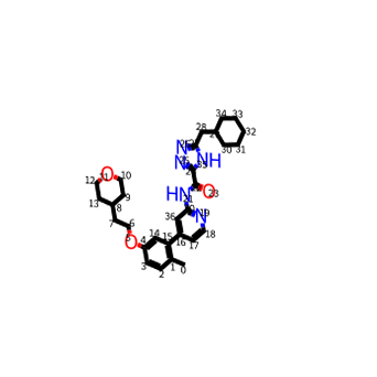 Cc1ccc(OCCC2CCOCC2)cc1-c1ccnc(NC(=O)c2nnc(CC3CCCCC3)[nH]2)c1